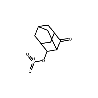 O=C1C2CC3CC(C2)C(O[SH](=O)=O)C1C3